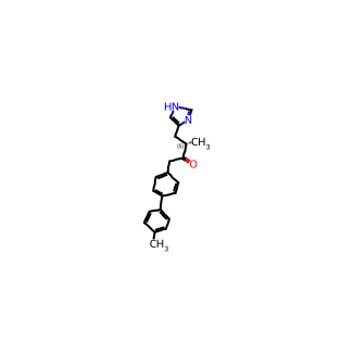 Cc1ccc(-c2ccc(CC(=O)[C@@H](C)Cc3c[nH]cn3)cc2)cc1